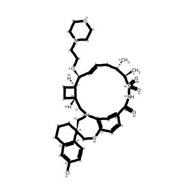 C[C@@H]1[C@@H](C)C/C=C/[C@H](OCCN2CCOCC2)[C@@H]2CC[C@H]2CN2C[C@@]3(CCCc4cc(Cl)ccc43)COc3ccc(cc32)C(=O)NS1(=O)=O